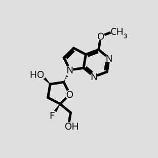 COc1ncnc2c1ccn2[C@@H]1O[C@](F)(CO)C[C@H]1O